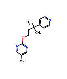 CC(C)(C)c1cnc(OCCC(C)(C)c2ccncc2)nc1